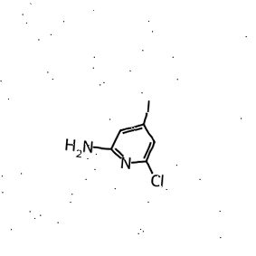 Nc1cc(I)cc(Cl)n1